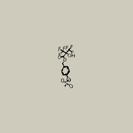 CS(=O)(=O)Oc1ccc(COC(=O)C(O)(C(F)(F)F)C(F)(F)F)cc1